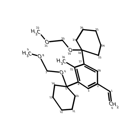 C=Cc1cc(C2(OCOC)CCCCC2)c(C)c(C2(OCOC)CCCCC2)c1